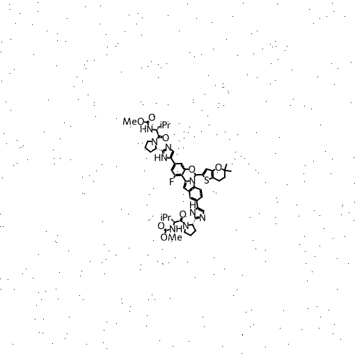 COC(=O)N[C@H](C(=O)N1CCC[C@H]1c1ncc(-c2cc(F)c3c(c2)OC(c2cc4c(s2)CCC(C)(C)O4)n2c-3cc3cc(-c4cnc([C@@H]5CCCN5C(=O)[C@@H](NC(=O)OC)C(C)C)[nH]4)ccc32)[nH]1)C(C)C